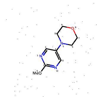 COc1ncc(N2CCOCC2)cn1